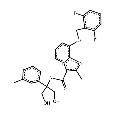 Cc1cccc(C(CO)(CO)NC(=O)c2c(C)nc3c(OCc4c(F)cccc4F)cccn23)c1